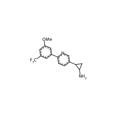 COc1cc(-c2ccc(C3CC3N)cn2)cc(C(F)(F)F)c1